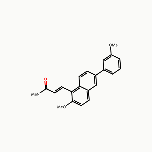 CNC(=O)C=Cc1c(OC)ccc2cc(-c3cccc(OC)c3)ccc12